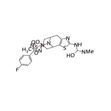 CNC(O)Nc1nc2c(s1)C1CN(S(C)(=O)=O)CC(C2)N1c1nc(-c2ccc(F)cc2)no1